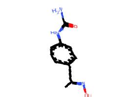 CC(=NO)c1ccc(NC(N)=O)cc1